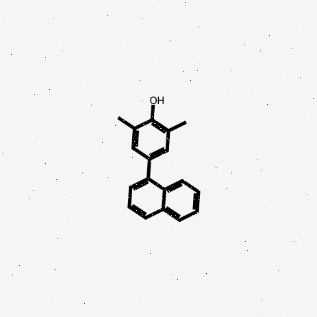 Cc1cc(-c2cccc3ccccc23)cc(C)c1O